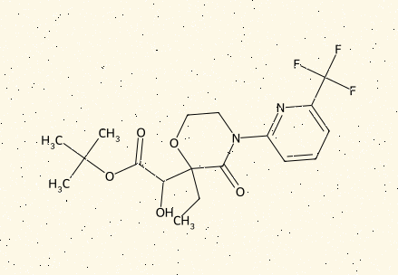 CCC1(C(O)C(=O)OC(C)(C)C)OCCN(c2cccc(C(F)(F)F)n2)C1=O